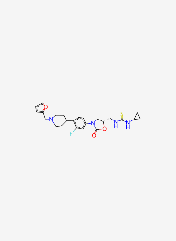 O=C1O[C@@H](CNC(=S)NC2CC2)CN1c1ccc(C2CCN(Cc3ccco3)CC2)c(F)c1